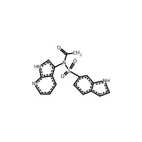 CC(=O)N(c1c[nH]c2ncccc12)S(=O)(=O)c1ccc2cc[nH]c2c1